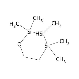 C[SiH]1[Si](C)(C)CCO[Si]1(C)C